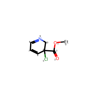 CCOC(=O)C1(Cl)C=CC=NC1